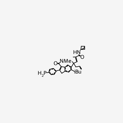 C=CCC(C)(/C=C(\C)C(=O)NC12CC(C1)C2)c1cc2c(cc1C(C)CC)CC(c1ccc(P)cc1)=C2C(=O)NC